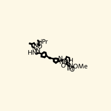 C=C1C[C@@H](c2nc(-c3ccc(C#Cc4ccc5[nH]c([C@@H]6CCCN6C(=O)[C@@H](NC(=O)OC)C(C)C)nc5c4)cc3)c[nH]2)N(C(=O)[C@@H](C)C(C)C)C1